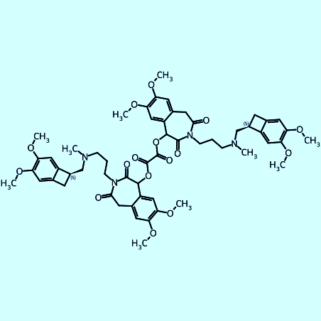 COc1cc2c(cc1OC)C(OC(=O)C(=O)OC1C(=O)N(CCCN(C)C[C@H]3Cc4cc(OC)c(OC)cc43)C(=O)Cc3cc(OC)c(OC)cc31)C(=O)N(CCCN(C)C[C@H]1Cc3cc(OC)c(OC)cc31)C(=O)C2